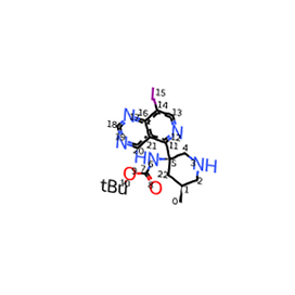 C[C@@H]1CNC[C@@](NC(=O)OC(C)(C)C)(c2ncc(I)c3ncncc23)C1